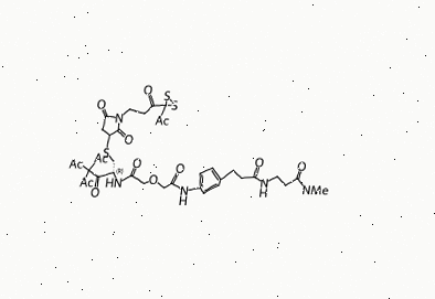 CNC(=O)CCNC(=O)CCc1ccc(NC(=O)COCC(=O)N[C@@H](CSC2CC(=O)N(CCC(=O)C3(C(C)=O)SS3)C2=O)C(=O)C(C(C)=O)(C(C)=O)C(C)=O)cc1